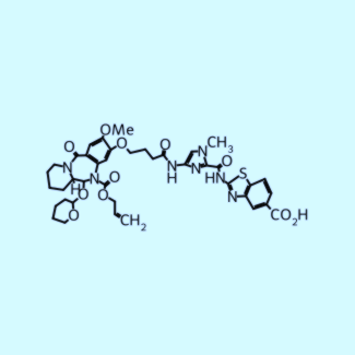 C=CCOC(=O)N1c2cc(OCCCC(=O)Nc3cn(C)c(C(=O)Nc4nc5cc(C(=O)O)ccc5s4)n3)c(OC)cc2C(=O)N2CCCC[C@H]2C1OC1CCCCO1